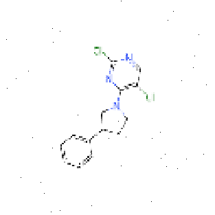 Clc1ncc(Cl)c(N2CCC(c3ccccc3)C2)n1